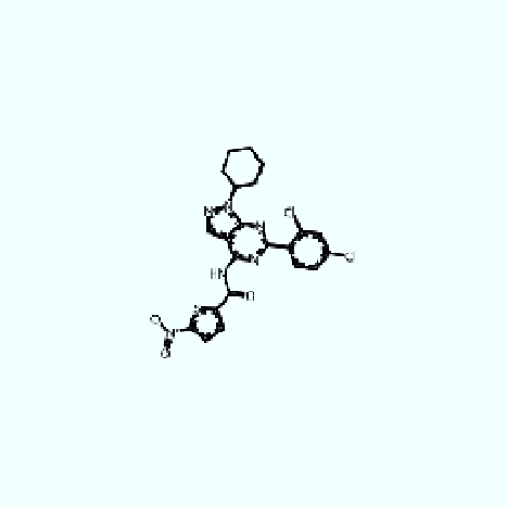 O=C(Nc1nc(-c2ccc(Cl)cc2Cl)nc2c1cnn2C1CCCCC1)c1ccc([N+](=O)[O-])s1